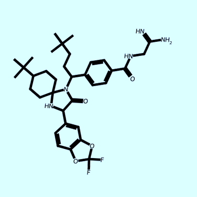 CC(C)(C)CCC(c1ccc(C(=O)NCC(=N)N)cc1)N1C(=O)C(c2ccc3c(c2)OC(F)(F)O3)NC12CCC(C(C)(C)C)CC2